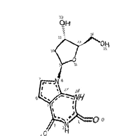 O=c1[nH]c(=O)c2ccn([C@H]3C[C@H](O)[C@@H](CO)O3)c2[nH]1